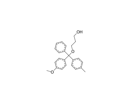 COc1ccc(C(OCCCO)(c2ccccc2)c2ccc(C)cc2)cc1